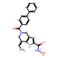 C/C=C1/CN(C(=O)c2ccc(-c3ccccc3)cc2)Cc2cc(C(=O)NO)sc21